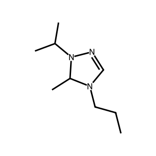 CCCN1C=NN(C(C)C)C1C